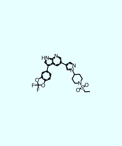 CCS(=O)(=O)N1CCC(n2cc(-c3cnc4[nH]cc(-c5ccc6c(c5)OC(F)(F)O6)c4c3)cn2)CC1